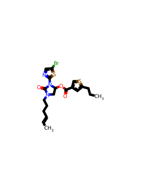 CC=CCCCN1CC(OC(=O)c2csc(CCC)c2)N(c2ncc(Br)s2)C1=O